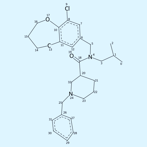 CC(C)CN(Cc1cc(Cl)c2c(c1)CCCCO2)C(=O)C1CCCN(Cc2ccccc2)C1